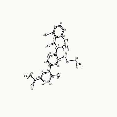 CN(C(=O)c1c(F)cccc1Cl)c1ncc(-c2cc(C(N)=O)ccc2Cl)cc1OCCC(F)(F)F